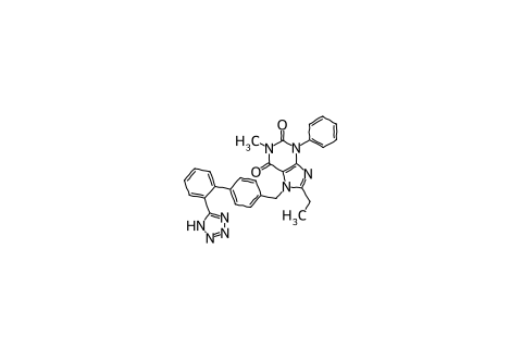 CCc1nc2c(c(=O)n(C)c(=O)n2-c2ccccc2)n1Cc1ccc(-c2ccccc2-c2nnn[nH]2)cc1